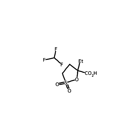 CCC1(C(=O)O)CCS(=O)(=O)O1.FC(F)F